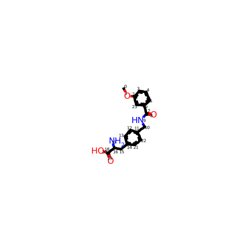 COc1cccc(C(=O)NCc2ccc(CC(N)C(=O)O)cc2)c1